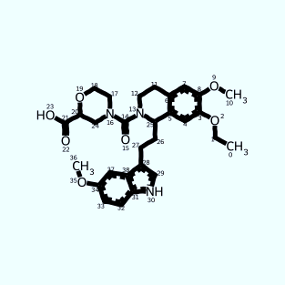 CCOc1cc2c(cc1OC)CCN(C(=O)N1CCOC(C(=O)O)C1)C2CCc1c[nH]c2ccc(OC)cc12